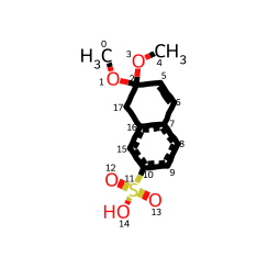 COC1(OC)C=Cc2ccc(S(=O)(=O)O)cc2C1